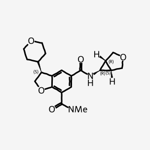 CNC(=O)c1cc(C(=O)N[C@H]2[C@@H]3COC[C@@H]32)cc2c1OC[C@H]2C1CCOCC1